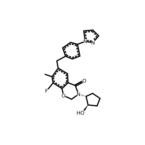 Cc1c(Cc2ccc(-n3cccn3)cc2)cc2c(c1F)OCN([C@@H]1CCC[C@H]1O)C2=O